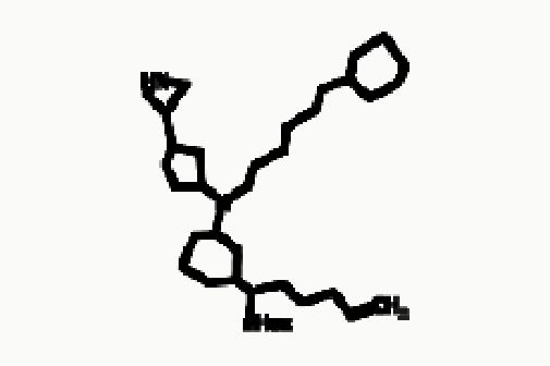 C=CCCCC(CCCCCC)C1CCCC(N(CCCCCCC2CCCCC2)C2CCC(C3CNC3)C2)C1